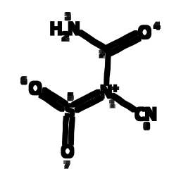 N#C[N+](C(N)=O)=S(=O)=O